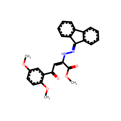 COC(=O)C(=CC(=O)c1cc(OC)ccc1OC)NN=C1c2ccccc2-c2ccccc21